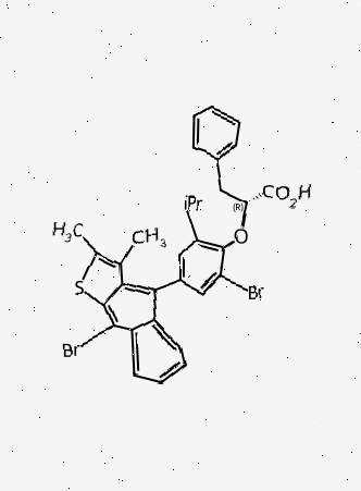 Cc1sc2c(Br)c3ccccc3c(-c3cc(Br)c(O[C@H](Cc4ccccc4)C(=O)O)c(C(C)C)c3)c2c1C